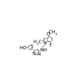 COc1ccc(F)c2c1cc(C)n2CCNc1cc(-c2cc(O)cs2)ncn1